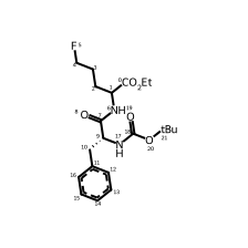 CCOC(=O)C(CCCF)NC(=O)[C@@H](Cc1ccccc1)NC(=O)OC(C)(C)C